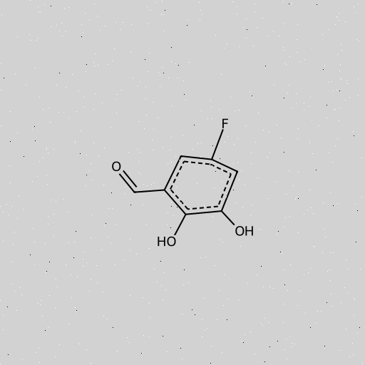 O=Cc1cc(F)cc(O)c1O